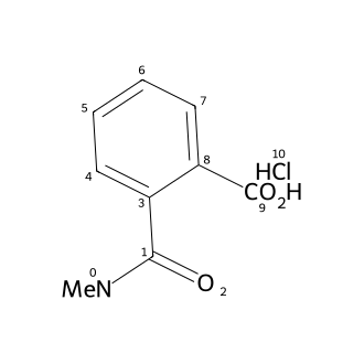 CNC(=O)c1ccccc1C(=O)O.Cl